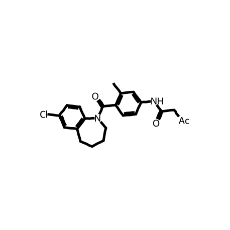 CC(=O)CC(=O)Nc1ccc(C(=O)N2CCCCc3cc(Cl)ccc32)c(C)c1